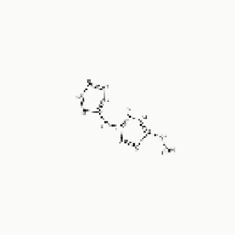 OSc1ccc(Oc2ccccc2)nc1